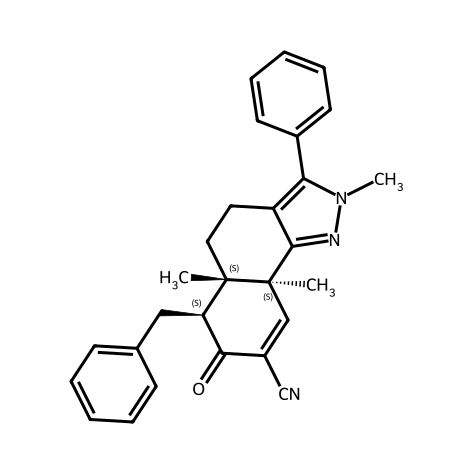 Cn1nc2c(c1-c1ccccc1)CC[C@@]1(C)[C@H](Cc3ccccc3)C(=O)C(C#N)=C[C@]21C